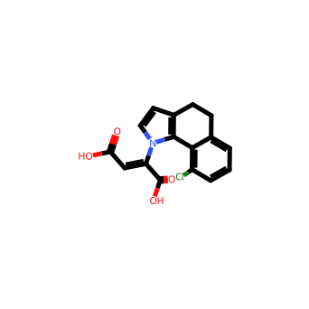 O=C(O)/C=C(/C(=O)O)n1ccc2c1-c1c(Cl)cccc1CC2